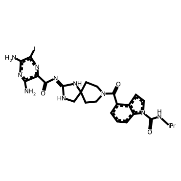 CC(C)NC(=O)n1ccc2c(C(=O)N3CCC4(CC3)CN/C(=N\C(=O)c3nc(I)c(N)nc3N)N4)cccc21